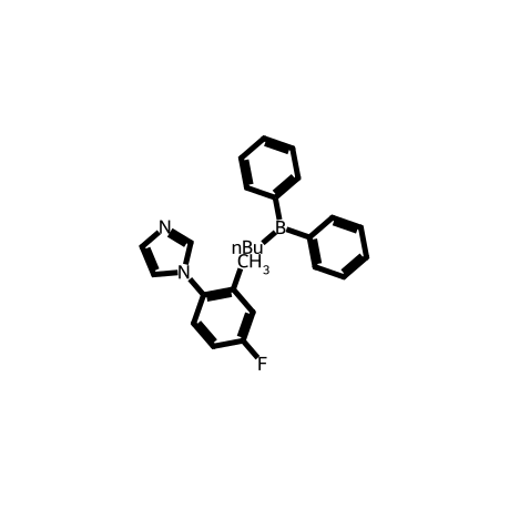 CCCCB(c1ccccc1)c1ccccc1.Cc1cc(F)ccc1-n1ccnc1